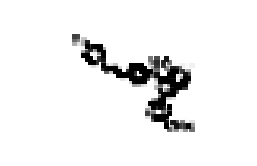 CCN1CCN(CCCc2ccc(Nc3nc(-c4cncc(OC)n4)cc4cc[nH]c(=O)c34)cc2)CC1